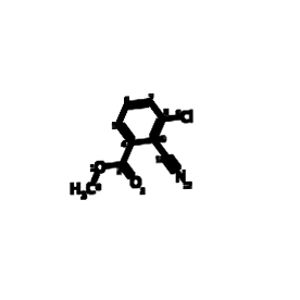 COC(=O)c1cccc(Cl)c1C#N